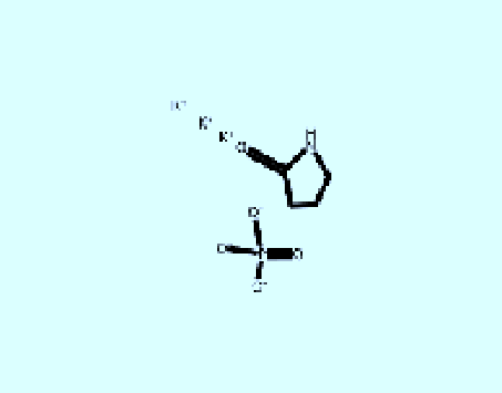 O=C1CCCN1.O=P([O-])([O-])[O-].[K+].[K+].[K+]